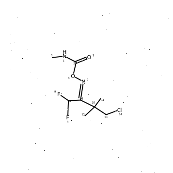 CNC(=O)ON=C(C(F)F)C(C)(C)CCl